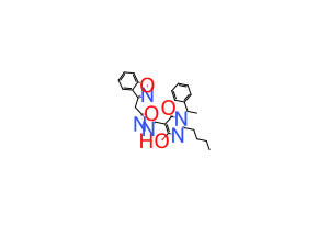 CCCCc1nc(O)c(-c2nnc(Cc3noc4ccccc34)o2)c(=O)n1C(C)c1ccccc1